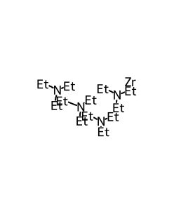 CCN(CC)CC.CCN(CC)CC.CCN(CC)CC.CCN(CC)CC.[Zr]